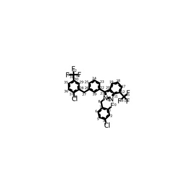 Fc1cc(Cl)ccc1Cn1nc2c(C(F)(F)F)cccc2c1-c1cccc(Cc2cc(C(F)(F)F)ccc2Cl)c1